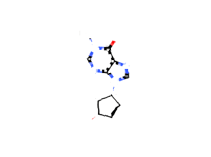 Cn1cnc2c(ncn2[C@H]2C=C[C@@H](O)C2)c1=O